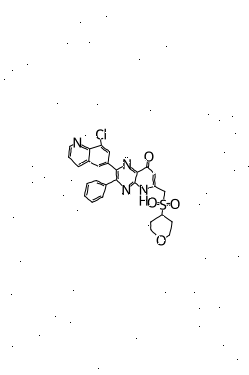 O=c1cc(CS(=O)(=O)C2CCOCC2)[nH]c2nc(-c3ccccc3)c(-c3cc(Cl)c4ncccc4c3)nc12